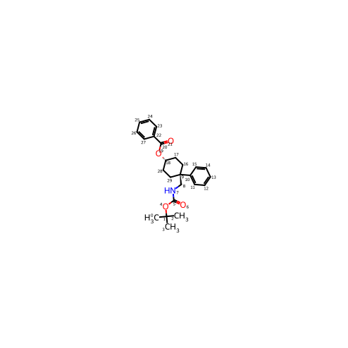 CC(C)(C)OC(=O)NC[C@]1(c2ccccc2)CC[C@@H](OC(=O)c2ccccc2)CC1